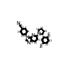 N#Cc1ccc(-n2cnc3ccc(N4CCC[C@@H]4c4cc(F)ccc4F)nc32)cc1